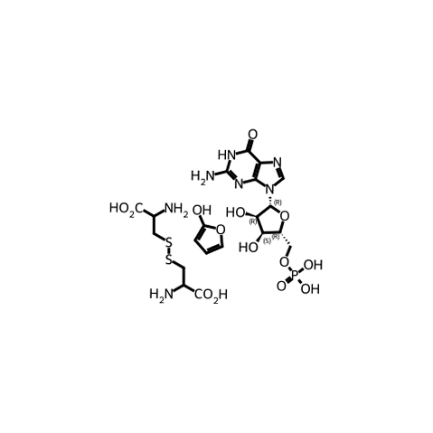 NC(CSSCC(N)C(=O)O)C(=O)O.Nc1nc2c(ncn2[C@@H]2O[C@H](COP(=O)(O)O)[C@@H](O)[C@H]2O)c(=O)[nH]1.Oc1ccco1